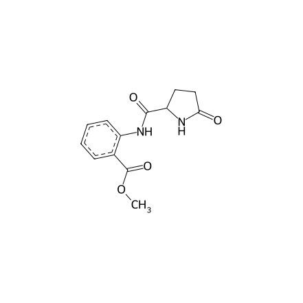 COC(=O)c1ccccc1NC(=O)C1CCC(=O)N1